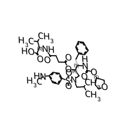 CNc1ccc(S(=O)(=O)N(CC(C)C)C[C@@H](OC(=O)CCC(=O)N[C@H](C(=O)O)C(C)C)[C@H](Cc2ccccc2)NC(=O)O[C@H]2CCOC2)cc1